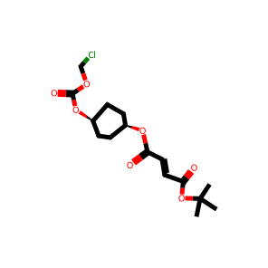 CC(C)(C)OC(=O)/C=C/C(=O)O[C@H]1CC[C@@H](OC(=O)OCCl)CC1